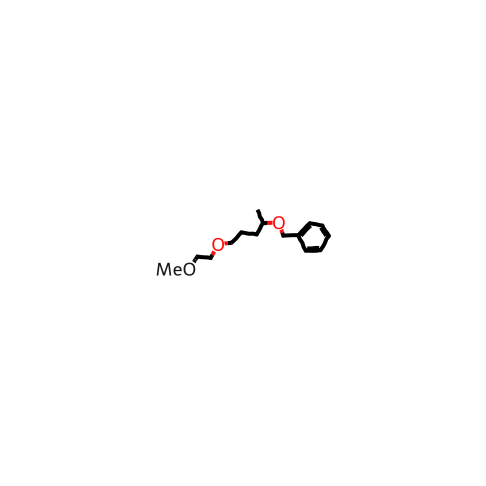 COCCOCCCC(C)OCc1ccccc1